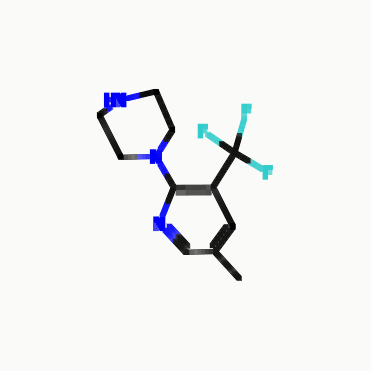 Cc1cnc(N2CCNCC2)c(C(F)(F)F)c1